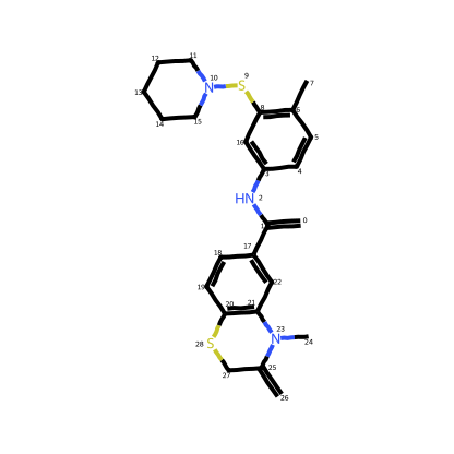 C=C(Nc1ccc(C)c(SN2CCCCC2)c1)c1ccc2c(c1)N(C)C(=C)CS2